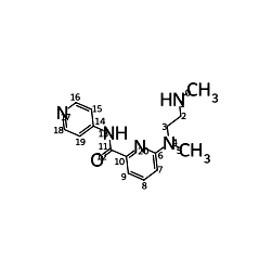 CNCCN(C)c1cccc(C(=O)Nc2ccncc2)n1